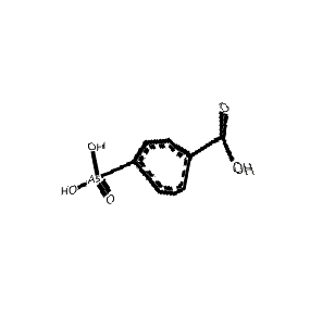 O=C(O)c1ccc([As](=O)(O)O)cc1